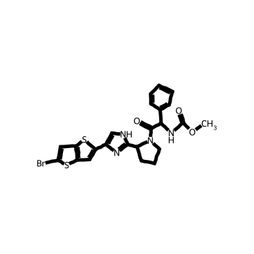 COC(=O)NC(C(=O)N1CCCC1c1nc(-c2cc3sc(Br)cc3s2)c[nH]1)c1ccccc1